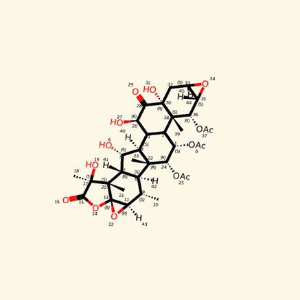 CC(=O)O[C@H]1C2C([C@@H]3[C@@H](O)[C@@H]4[C@H]([C@H](C)[C@H]5O[C@]56OC(=O)[C@@](C)(O)[C@]46C)[C@@]3(C)[C@H]1OC(C)=O)[C@@H](O)C(=O)[C@@]1(O)C[C@@H]3O[C@@H]3[C@H](OC(C)=O)[C@]21C